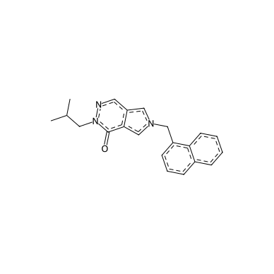 CC(C)Cn1ncc2cn(Cc3cccc4ccccc34)cc2c1=O